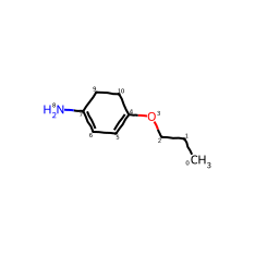 CCCOC1=CC=C(N)CC1